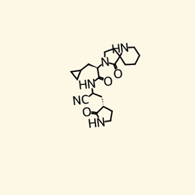 N#CC(C[C@@H]1CCNC1=O)NC(=O)[C@@H](CC1CC1)N1CCC2(CCCCN2)C1=O